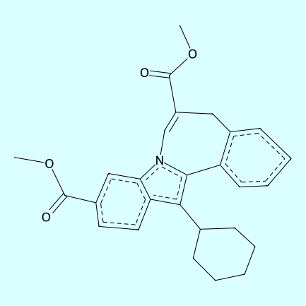 COC(=O)C1=Cn2c(c(C3CCCCC3)c3ccc(C(=O)OC)cc32)-c2ccccc2C1